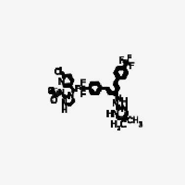 CC1(C)CNC(=NN=C(/C=C/c2ccc(C(F)(F)F)cc2)/C=C/c2ccc(C(F)(F)F)cc2)NC1.O=[N+]([O-])/N=C1\NCCN1Cc1ccc(Cl)nc1